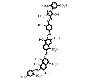 Nc1c(N=Nc2ccc3c(O)c(N=Nc4ccc(N=Nc5c(C(=O)O)nn(-c6cc(S(=O)(=O)O)ccc6S(=O)(=O)O)c5O)c(S(=O)(=O)O)c4)c(S(=O)(=O)O)cc3c2S(=O)(=O)O)cc(S(=O)(=O)O)c2cc(S(=O)(=O)O)c(N=Nc3ccc([N+](=O)[O-])cc3S(=O)(=O)O)c(O)c12